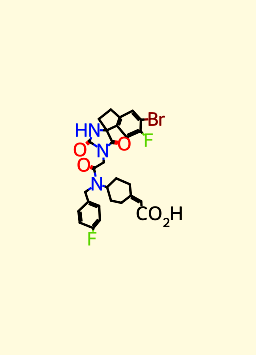 O=C(O)C=C1CCC(N(Cc2ccc(F)cc2)C(=O)CN2C(=O)NC3(CCc4cc(Br)c(F)cc43)C2=O)CC1